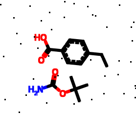 CC(C)(C)OC(N)=O.CCc1ccc(C(=O)O)cc1